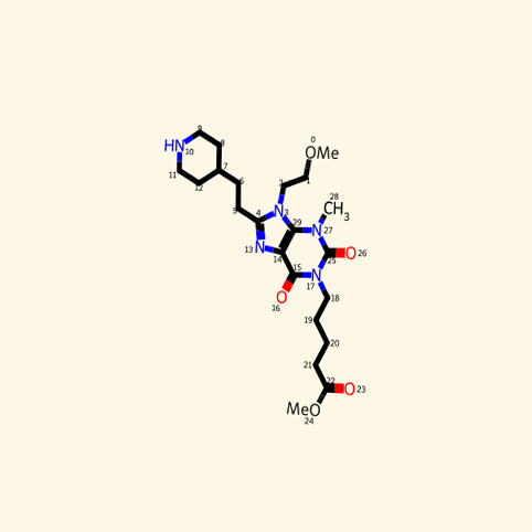 COCCn1c(CCC2CCNCC2)nc2c(=O)n(CCCCC(=O)OC)c(=O)n(C)c21